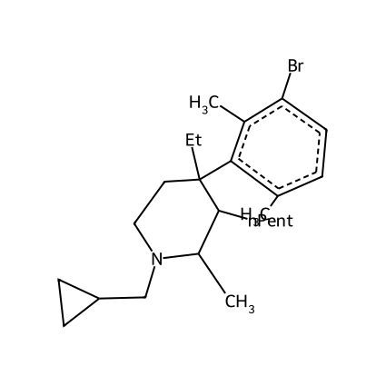 CCCCCC1C(C)N(CC2CC2)CCC1(CC)c1c(C)ccc(Br)c1C